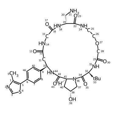 Cc1ncsc1-c1ccc([C@H]2CC(=O)NCC(=O)N[C@H](CN)C(=O)NCCOCC(=O)N[C@@H](C(C)(C)C)C(=O)N3C[C@H](O)C[C@H]3C(=O)N2)cc1